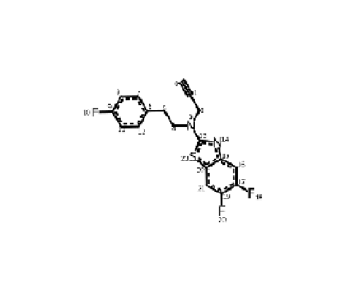 C#CCN(CCc1ccc(F)cc1)c1nc2cc(F)c(F)cc2s1